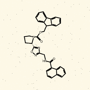 O=C(NCc1noc([C@@H]2CCCN2C(=O)OCC2c3ccccc3-c3ccccc32)n1)c1cccc2ccccc12